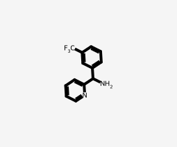 NC(c1cccc(C(F)(F)F)c1)c1ccccn1